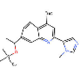 CC(O[Si](C)(C)C(C)(C)C)c1ccc2c(C=O)cc(-c3cncn3C)nc2c1